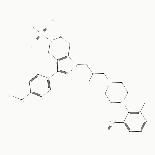 Cc1cccc(N=O)c1N1CCN(CC(O)Cn2nc(-c3ccc(CF)cc3)c3c2CCN(S(C)(=O)=O)C3)CC1